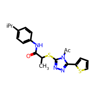 CC(=O)n1c(SC(C)C(=O)Nc2ccc(C(C)C)cc2)nnc1-c1cccs1